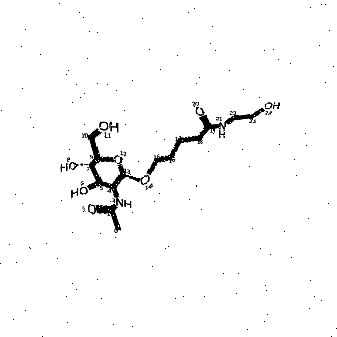 CC(=O)NC1C(O)[C@H](O)C(CO)O[C@H]1OCCCCC(=O)NCCO